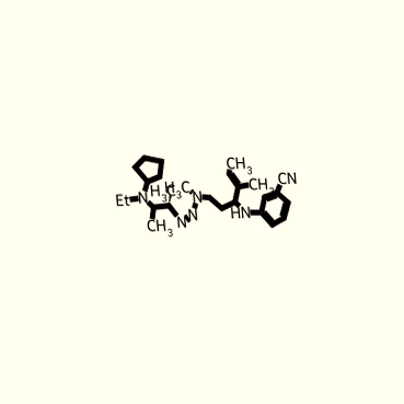 C/C=C(\C)C(CCN(C)/N=N\[C@@H](C)C(C)N(CC)C1CCCC1)Nc1cccc(C#N)c1